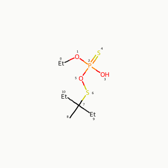 CCOP(O)(=S)OSC(C)(CC)CC